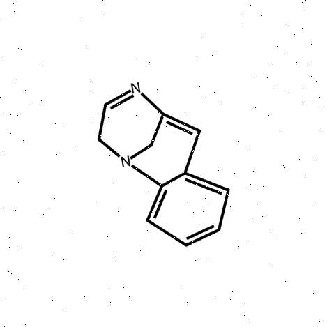 C1=NC2=Cc3ccccc3N(C1)C2